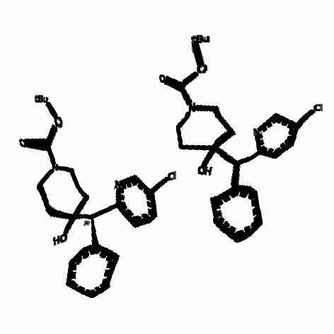 CC(C)(C)OC(=O)N1CCC(O)(C(c2ccccc2)c2ccc(Cl)cn2)CC1.CC(C)(C)OC(=O)N1CCC(O)([C@H](c2ccccc2)c2ccc(Cl)cn2)CC1